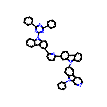 c1ccc(-c2nc(-c3ccccc3)nc(-n3c4ccccc4c4cc(-c5cccc(-c6ccc7c8ccccc8n(-c8ccc9c(c8)c8ccncc8n9-c8ccccc8)c7c6)n5)ccc43)n2)cc1